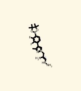 Cc1nn(C/C(N)=C/NN)cc1-c1ccc(B2OC(C)(C)C(C)(C)O2)c(F)c1F